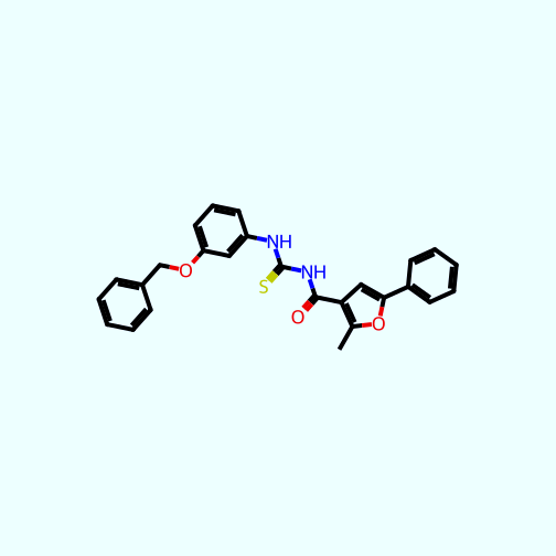 Cc1oc(-c2ccccc2)cc1C(=O)NC(=S)Nc1cccc(OCc2ccccc2)c1